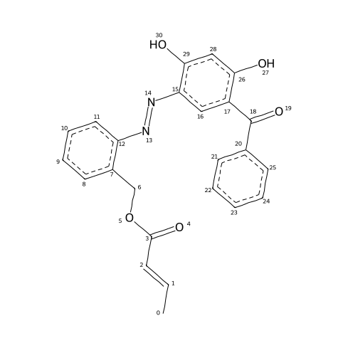 CC=CC(=O)OCc1ccccc1N=Nc1cc(C(=O)c2ccccc2)c(O)cc1O